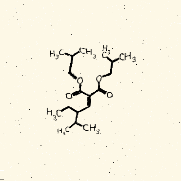 CCC(C=C(C(=O)OCC(C)C)C(=O)OCC(C)C)C(C)C